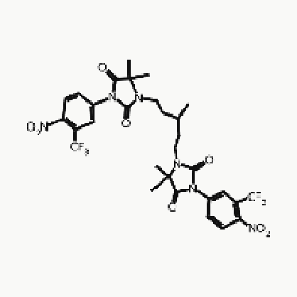 CC(CCN1C(=O)N(c2ccc([N+](=O)[O-])c(C(F)(F)F)c2)C(=O)C1(C)C)CCN1C(=O)N(c2ccc([N+](=O)[O-])c(C(F)(F)F)c2)C(=O)C1(C)C